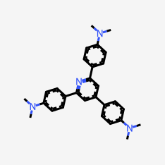 CN(C)c1ccc(-c2cc(-c3ccc(N(C)C)cc3)nc(-c3ccc(N(C)C)cc3)c2)cc1